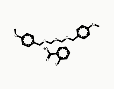 COc1ccc(COCOCOCc2ccc(OC)cc2)cc1.O=C(O)c1ccccc1Br